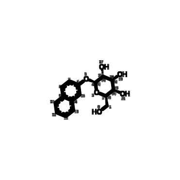 OC[C@H]1O[C@@H](Oc2ccc3ccccc3c2)[C@H](O)[C@@H](O)[C@H]1O